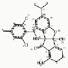 Cc1cc(Cl)c(C(=O)NC23C(=O)C4=C(N)CCC=C4C2(O)Oc2cc(C(C)C)ccc23)c(Cl)c1